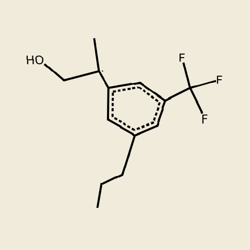 CCCc1cc([C](C)CO)cc(C(F)(F)F)c1